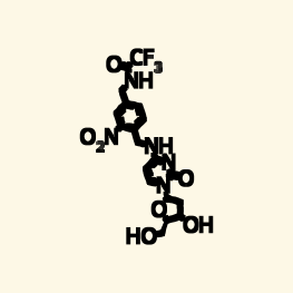 O=C(NCc1ccc(CNc2ccn([C@H]3CC(O)[C@@H](CO)O3)c(=O)n2)c([N+](=O)[O-])c1)C(F)(F)F